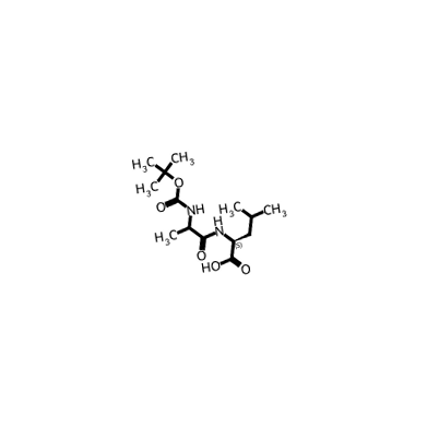 CC(C)C[C@H](NC(=O)C(C)NC(=O)OC(C)(C)C)C(=O)O